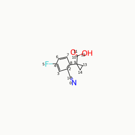 N#Cc1cc(F)ccc1C1(C(=O)O)CC1